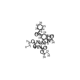 CCC(C)OC(=O)N=C(NC(=O)OC(C)CC)Nc1cc([S+]([O-])c2ccccc2)ccc1NC(C)=O